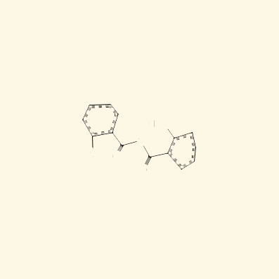 Cc1ccccc1C(=O)SC(=O)c1ccccc1C